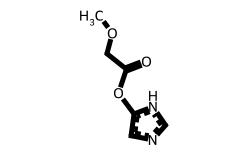 COCC(=O)Oc1cnc[nH]1